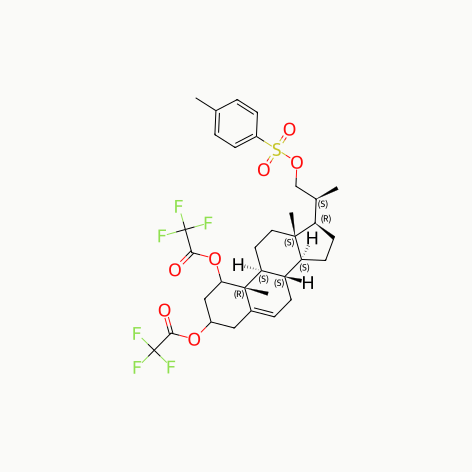 Cc1ccc(S(=O)(=O)OC[C@@H](C)[C@H]2CC[C@H]3[C@@H]4CC=C5CC(OC(=O)C(F)(F)F)CC(OC(=O)C(F)(F)F)[C@]5(C)[C@H]4CC[C@]23C)cc1